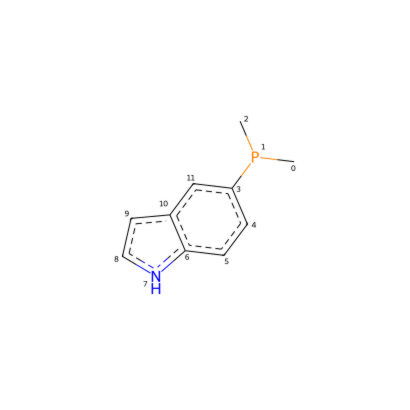 CP(C)c1ccc2[nH]ccc2c1